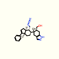 C[C@]1([C@H]2CC[C@]3(C)C(c4ccccc4)=CC[C@H]3[C@@H]2CN=[N+]=[N-])Cc2cn[nH]c2C[C@@H]1CO